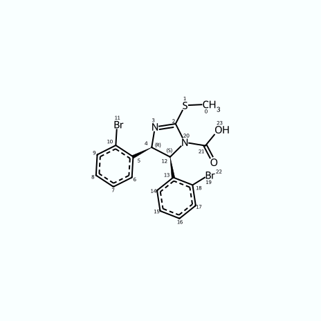 CSC1=N[C@H](c2ccccc2Br)[C@H](c2ccccc2Br)N1C(=O)O